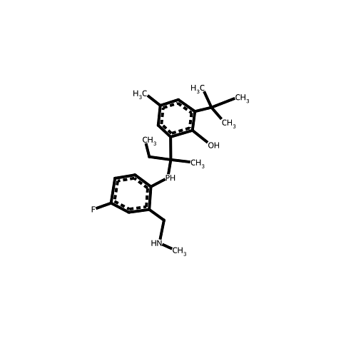 CCC(C)(Pc1ccc(F)cc1CNC)c1cc(C)cc(C(C)(C)C)c1O